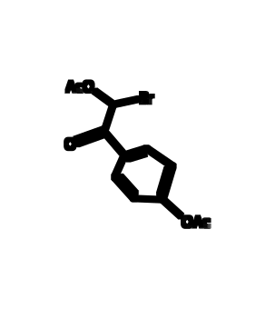 CC(=O)Oc1ccc(C(=O)C(Br)OC(C)=O)cc1